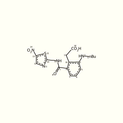 CCCCNc1cccc(C(=O)Nc2ncc([N+](=O)[O-])s2)c1CC(=O)O